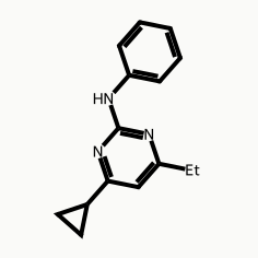 CCc1cc(C2CC2)nc(Nc2ccccc2)n1